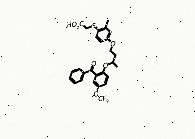 Cc1cc(OCCC(C)Oc2ccc(OC(F)(F)F)cc2C(=O)c2ccccc2)ccc1SCC(=O)O